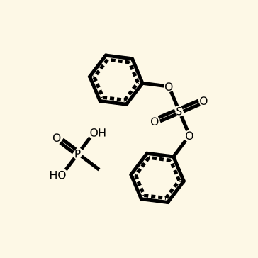 CP(=O)(O)O.O=S(=O)(Oc1ccccc1)Oc1ccccc1